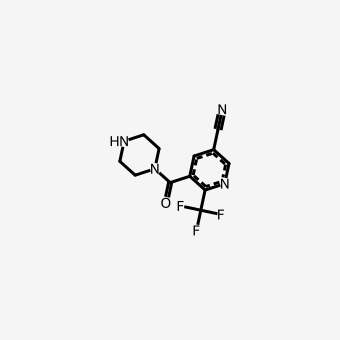 N#Cc1cnc(C(F)(F)F)c(C(=O)N2CCNCC2)c1